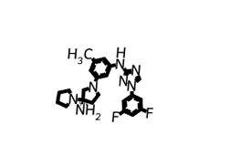 Cc1cc(Nc2ncn(-c3cc(F)cc(F)c3)n2)cc(N2CC[C@](N)(N3CCCC3)C2)c1